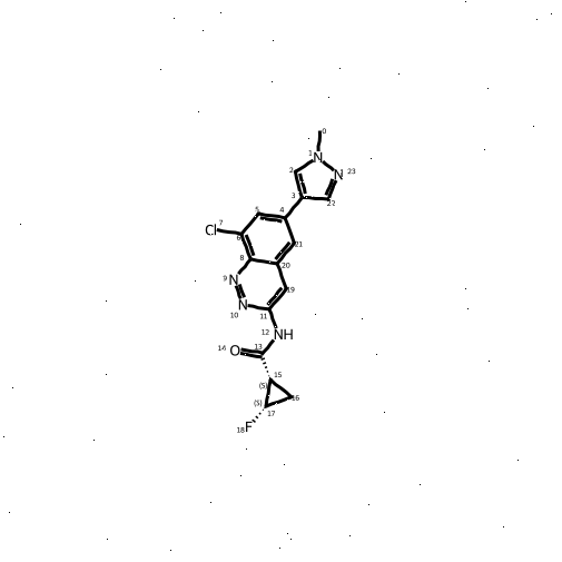 Cn1cc(-c2cc(Cl)c3nnc(NC(=O)[C@@H]4C[C@@H]4F)cc3c2)cn1